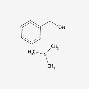 CN(C)C.OCc1ccccc1